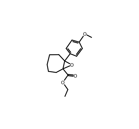 CCOC(=O)C12CCCCCC1(c1ccc(OC)cc1)O2